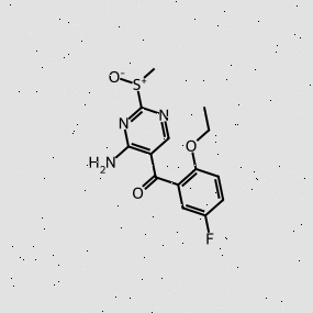 CCOc1ccc(F)cc1C(=O)c1cnc([S+](C)[O-])nc1N